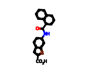 O=C(O)c1cc2ccc(NC(=O)c3cccc4ccccc34)cc2s1